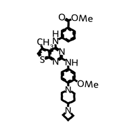 COC(=O)c1cccc(Nc2nc(Nc3ccc(N4CCC(N5CCC5)CC4)c(OC)c3)nc3scc(C)c23)c1